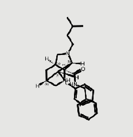 CC(C)CCN1C[C@@H]2C[C@H]3CN[C@]2(C(=O)NCc2ccccc2)[C@@H]1[C@@H]3Cc1ccccc1